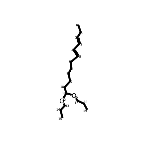 CCC=CC=CCCCCCC(OCCC)OCCC